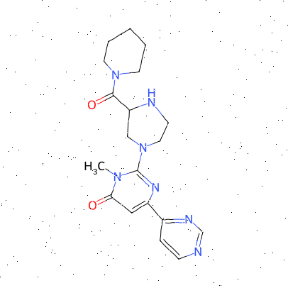 Cn1c(N2CCNC(C(=O)N3CCCCC3)C2)nc(-c2ccncn2)cc1=O